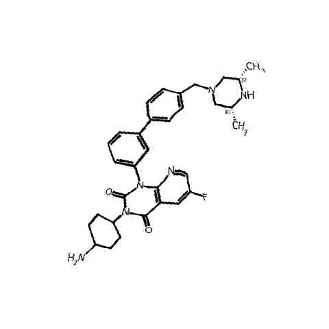 C[C@@H]1CN(Cc2ccc(-c3cccc(-n4c(=O)n(C5CCC(N)CC5)c(=O)c5cc(F)cnc54)c3)cc2)C[C@H](C)N1